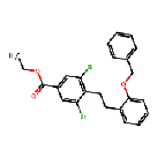 CCOC(=O)c1cc(Br)c(CCc2ccccc2OCc2ccccc2)c(Br)c1